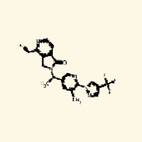 Cc1cc(C(C)N2Cc3c(ccnc3C=O)C2=O)cnc1-n1cc(C(F)(F)F)cn1